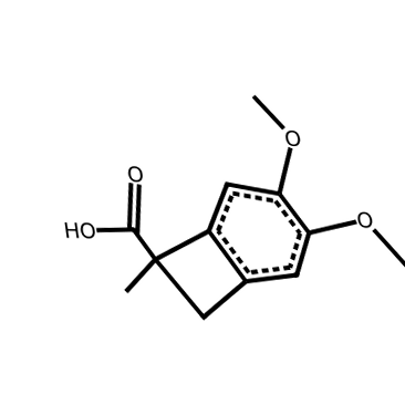 COc1cc2c(cc1OC)C(C)(C(=O)O)C2